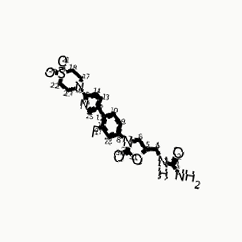 NC(=O)NCC1CN(c2ccc(-c3ccc(N4CCS(=O)(=O)CC4)nc3)c(F)c2)C(=O)O1